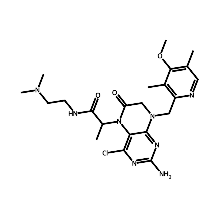 COc1c(C)cnc(CN2CC(=O)N(C(C)C(=O)NCCN(C)C)c3c(Cl)nc(N)nc32)c1C